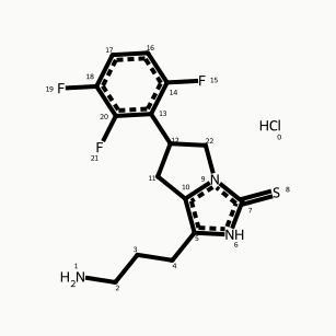 Cl.NCCCc1[nH]c(=S)n2c1CC(c1c(F)ccc(F)c1F)C2